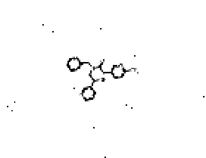 O=C(Cc1ccc(C(F)(F)F)nc1)N(Cc1ccccc1)CC(O)c1cccnc1